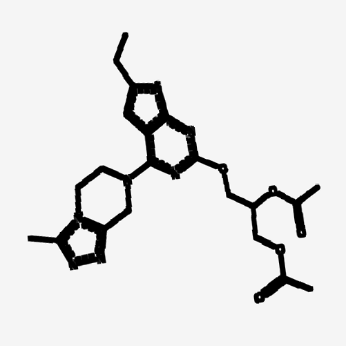 CCc1cc2c(N3CCn4c(C)nnc4C3)nc(OCC(COC(C)=O)OC(C)=O)nc2s1